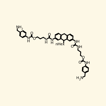 CCCCCCC1c2cc(NC(=O)NCCCOC(=O)Nc3ccc(CN)cc3)ccc2Cc2ccc(NC(=O)NCCCOC(=O)Nc3ccc(CN)cc3)cc21